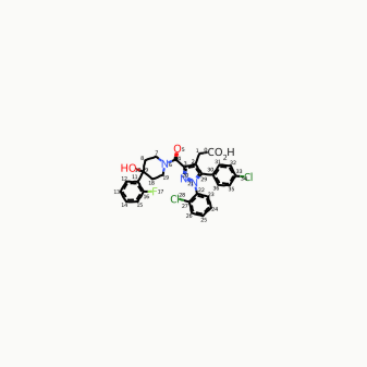 O=C(O)Cc1c(C(=O)N2CCC(O)(c3ccccc3F)CC2)nn(-c2ccccc2Cl)c1-c1ccc(Cl)cc1